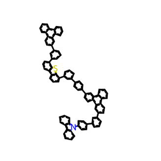 c1cc(-c2ccc(-n3c4ccccc4c4ccccc43)cc2)cc(-c2ccc3c4ccccc4c4cc(-c5ccc(-c6cccc(-c7cccc8c7sc7c(-c9cccc(-c%10ccc%11c%12ccccc%12c%12ccccc%12c%11c%10)c9)cccc78)c6)cc5)ccc4c3c2)c1